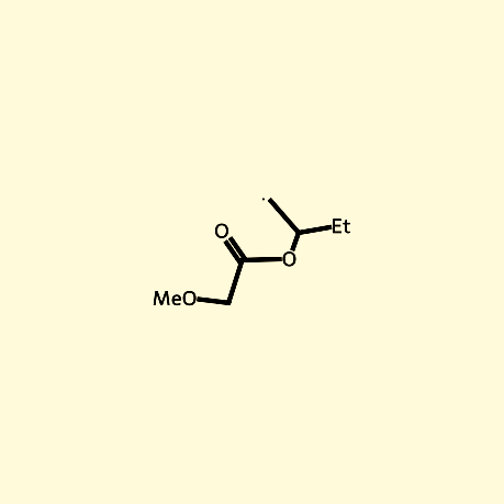 [CH2]C(CC)OC(=O)COC